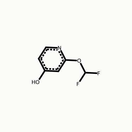 Oc1ccnc(OC(F)F)c1